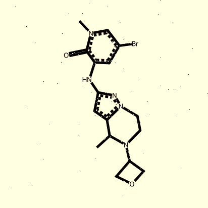 CC1c2cc(Nc3cc(Br)cn(C)c3=O)nn2CCN1C1COC1